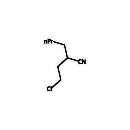 CCCCC(C#N)CCCl